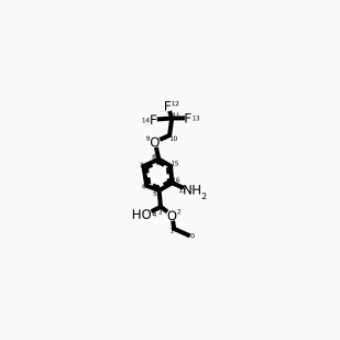 CCOC(O)c1ccc(OCC(F)(F)F)cc1N